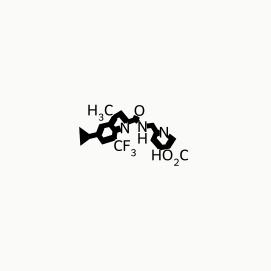 Cc1cc(C(=O)NCc2cc(C(=O)O)ccn2)nc2c(C(F)(F)F)cc(C3CC3)cc12